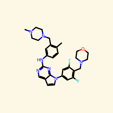 Cc1ccc(Nc2ncc3ccn(-c4cc(F)c(CN5CCOCC5)c(F)c4)c3n2)cc1CN1CCN(C)CC1